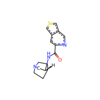 O=C(N[C@H]1CN2CCC1CC2)c1cc2cscc2cn1